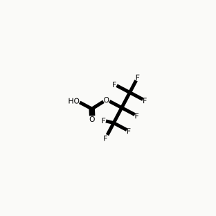 O=C(O)OC(F)(C(F)(F)F)C(F)(F)F